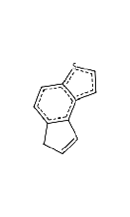 C1=Cc2c(ccc3sccc23)C1